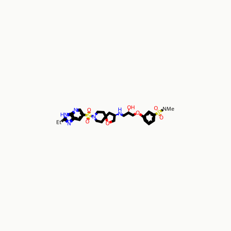 CCc1nc2cc(S(=O)(=O)N3CCC4(CC3)C[C@@H](NC[C@H](O)COc3cccc(S(=O)(=O)NC)c3)CO4)cnc2[nH]1